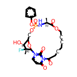 C[C@@H]1NP(=O)(Oc2ccccc2)OCC2OC(n3ccc(=O)n(c3=O)C(=O)CCCCCCOC1=O)[C@](C)(F)[C@@H]2O